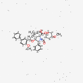 COc1ccc(-c2ccccc2)cc1CO[C@H]1[C@H](C(C)(C)C)[C@@H](C(=O)O)N(C(=O)[C@@H]2CCC[C@@H](OC)C2)[C@H]1c1ccccc1